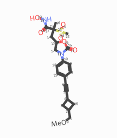 COCC1CC(C#Cc2ccc(N3CC(CC(C)(C(=O)NO)S(C)(=O)=O)OC3=O)cc2)C1